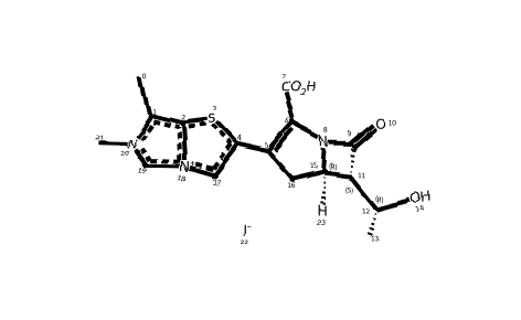 Cc1c2sc(C3=C(C(=O)O)N4C(=O)[C@H]([C@@H](C)O)[C@H]4C3)c[n+]2cn1C.[I-]